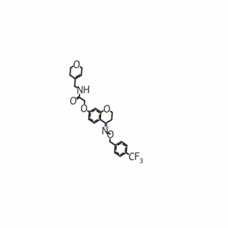 O=C(COc1ccc2c(c1)OCC/C2=N\OCc1ccc(C(F)(F)F)cc1)NCC1=CCOCC1